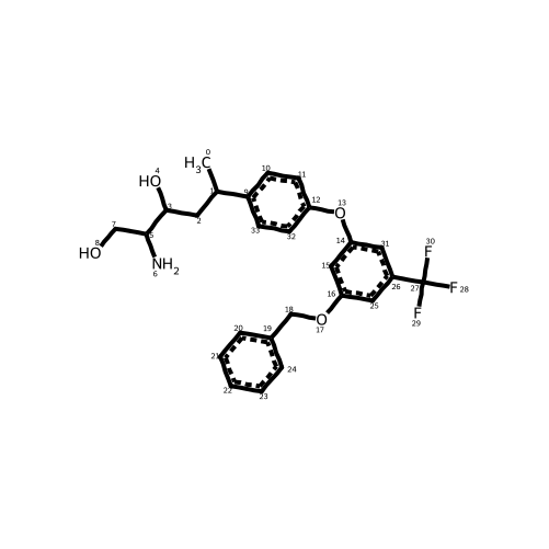 CC(CC(O)C(N)CO)c1ccc(Oc2cc(OCc3ccccc3)cc(C(F)(F)F)c2)cc1